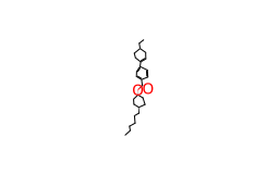 CCCCCC[C@H]1CC[C@H](OC(=O)c2ccc(C3=CCC(CC)CC3)cc2)CC1